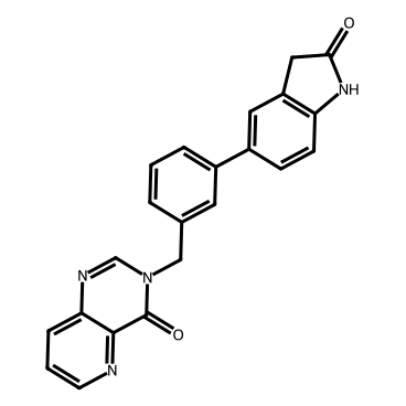 O=C1Cc2cc(-c3cccc(Cn4cnc5cccnc5c4=O)c3)ccc2N1